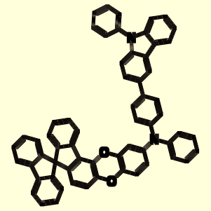 c1ccc(N(c2ccc(-c3ccc4c(c3)c3ccccc3n4-c3ccccc3)cc2)c2ccc3c(c2)Oc2c(ccc4c2-c2ccccc2C42c4ccccc4-c4ccccc42)O3)cc1